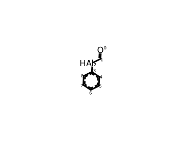 O=[CH][AlH][c]1ccccc1